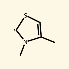 CC1=CS[C]N1C